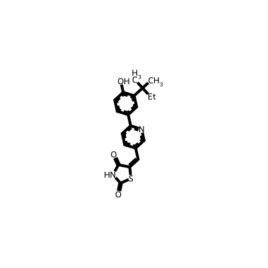 CCC(C)(C)c1cc(-c2ccc(C=C3SC(=O)NC3=O)cn2)ccc1O